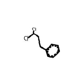 Cl[C](Cl)CCc1ccccc1